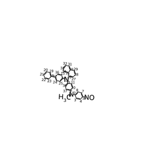 CN(c1ccc(N=O)cc1)c1ccc(N(c2ccc(-c3ccccc3)cc2)c2cccc3ccccc23)cc1